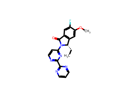 CC[C@H]1c2cc(OC)c(F)cc2C(=O)N1c1ccnc(-c2ncccn2)n1